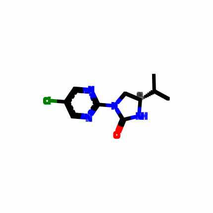 CC(C)[C@H]1CN(c2ncc(Cl)cn2)C(=O)N1